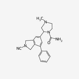 CN1CCN(C(N)=O)C(c2cc3c(c(-c4ccccc4)c2)CN(C#N)C3)C1